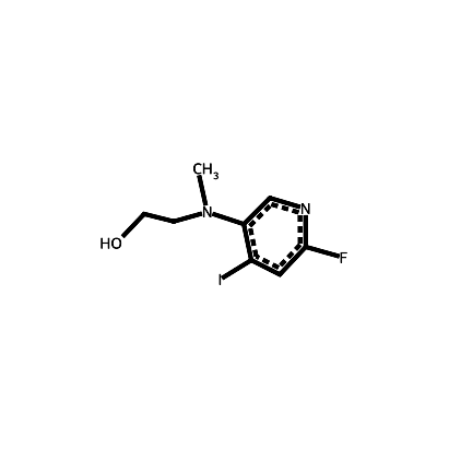 CN(CCO)c1cnc(F)cc1I